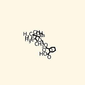 CCC(C)C(C)(C(=O)OCCOC(=O)C1C2CCC(O2)C1C(=O)O)C(C)(C)C